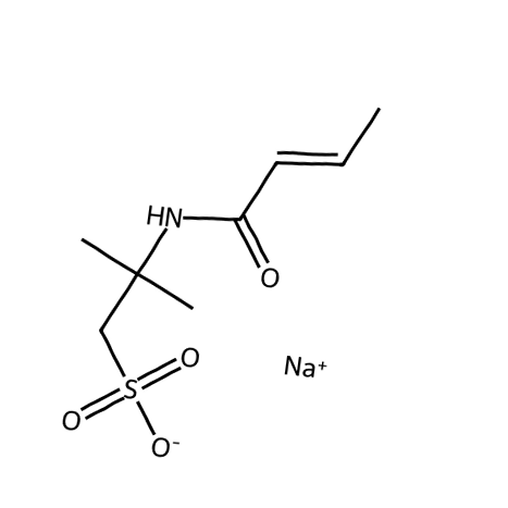 C/C=C/C(=O)NC(C)(C)CS(=O)(=O)[O-].[Na+]